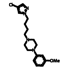 COc1cccc(N2CCN(CCCCn3cc(Cl)cn3)CC2)c1